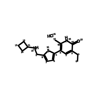 CCc1cc(-c2ccc(CNC3CCC3)s2)c(C)[nH]c1=O.Cl